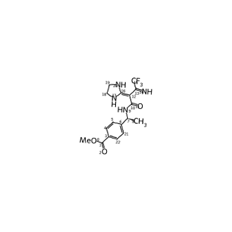 COC(=O)c1ccc([C@H](C)NC(=O)C(C(=N)C(F)(F)F)=C2NCCN2)cc1